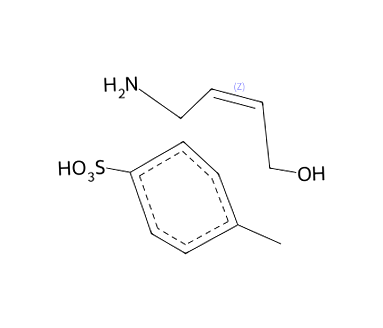 Cc1ccc(S(=O)(=O)O)cc1.NC/C=C\CO